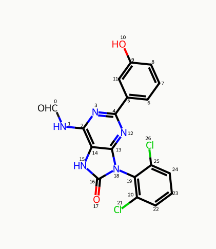 O=CNc1nc(-c2cccc(O)c2)nc2c1[nH]c(=O)n2-c1c(Cl)cccc1Cl